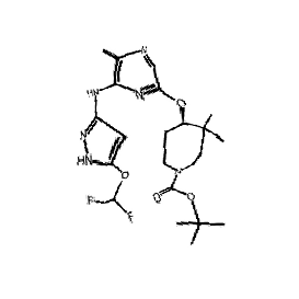 Cc1ncc(O[C@@H]2CCN(C(=O)OC(C)(C)C)CC2(C)C)nc1Nc1cc(OC(F)F)[nH]n1